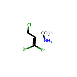 ClCC=C(Br)Br.NC(=O)O